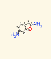 Nc1ccc2cc(N)oc2c1